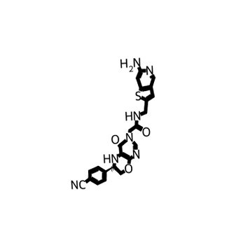 N#Cc1ccc([C@@H]2COc3ncn(CC(=O)NCc4cc5cnc(N)cc5s4)c(=O)c3N2)cc1